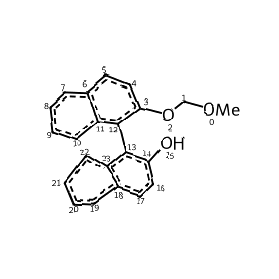 COCOc1ccc2ccccc2c1-c1c(O)ccc2ccccc12